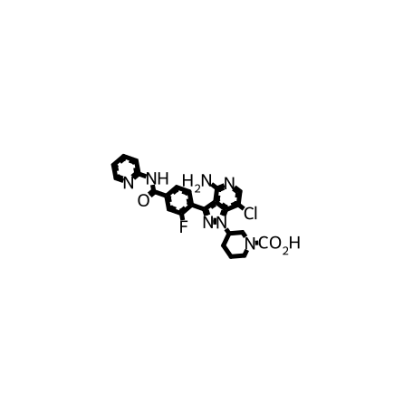 Nc1ncc(Cl)c2c1c(-c1ccc(C(=O)Nc3ccccn3)cc1F)nn2C1CCCN(C(=O)O)C1